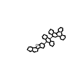 c1ccc2c(c1)ccc1c3ccc(-c4c5ccccc5c(-c5cc6c7ccccc7c7ccccc7c6c6ccccc56)c5ccccc45)cc3oc21